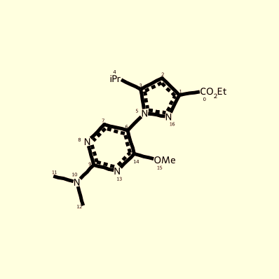 CCOC(=O)c1cc(C(C)C)n(-c2cnc(N(C)C)nc2OC)n1